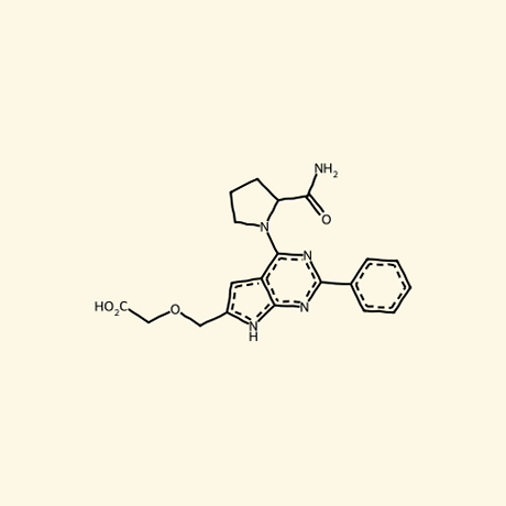 NC(=O)C1CCCN1c1nc(-c2ccccc2)nc2[nH]c(COCC(=O)O)cc12